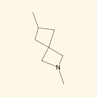 CC1CC2(C1)CN(C)C2